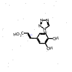 O=C(O)/C=C/c1ccc(O)c(O)c1.c1nnn[nH]1